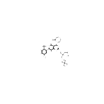 Cc1c(F)c(N)cc(-c2nc3c4c(nc(OC[C@](C)(CC(F)F)CN5CC6(COC6)C5)nc4c2F)N2CCNC[C@H]2[C@H](C)O3)c1C(F)(F)F